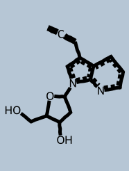 C=C=Cc1cn(C2CC(O)C(CO)O2)c2ncccc12